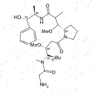 CC[C@H](C)[C@@H]([C@@H](CC(=O)N1CCC[C@H]1C(OC)C(C)C(=O)N[C@H](C)[C@@H](O)c1ccccc1)OC)N(C)C(=O)CN